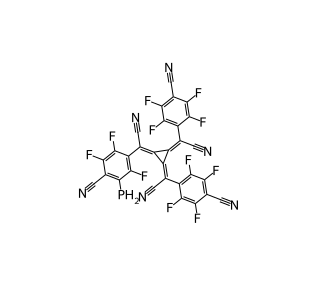 N#CC(=C1C(=C(/C#N)c2c(F)c(F)c(C#N)c(F)c2F)/C1=C(/C#N)c1c(F)c(F)c(C#N)c(P)c1F)c1c(F)c(F)c(C#N)c(F)c1F